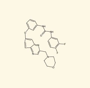 O=C(Nc1cccc(Oc2ccc3ncc(CN4CCOCC4)nc3c2)c1)Nc1ccc(F)c(F)c1